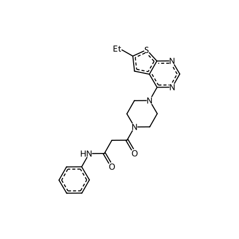 CCc1cc2c(N3CCN(C(=O)CC(=O)Nc4ccccc4)CC3)ncnc2s1